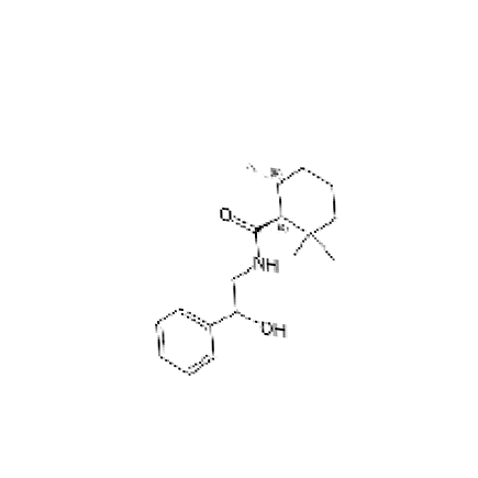 C[C@@H]1CCCC(C)(C)[C@H]1C(=O)NCC(O)c1ccccc1